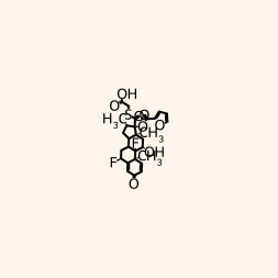 C[C@@H]1CC2C3C[C@H](F)C4=CC(=O)C=C[C@]4(C)[C@@]3(F)[C@@H](O)C[C@]2(C)[C@@]1(OC(=O)c1ccco1)C(=O)SCC(=O)O